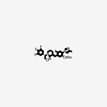 COc1cc(/C=C2\CCCN3C2=NOC[C@@H]3c2cc(F)c(F)c(F)c2)c(I)cc1-n1cnc(C)c1